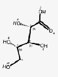 O=C(O)[C@@H](O)[C@@H](O)[C@@H](O)CO